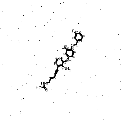 Nc1c(C#CC=CCNC(=O)O)ncnc1Nc1ccc(OCc2cccc(F)c2)c(Cl)c1